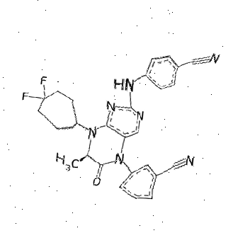 C[C@@H]1C(=O)N(c2cccc(C#N)c2)c2cnc(Nc3ccc(C#N)cc3)nc2N1C1CCC(F)(F)CC1